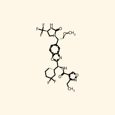 CCc1nocc1C(=O)N[C@H](c1nc2cc([C@@H](COC)N3C[C@@H](C(F)(F)F)NC3=O)ccc2o1)[C@H]1CCCC(F)(F)C1